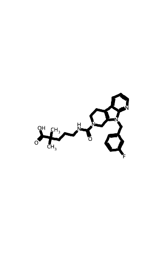 CC(C)(CCCNC(=O)N1CCc2c(n(Cc3cccc(F)c3)c3ncccc23)C1)C(=O)O